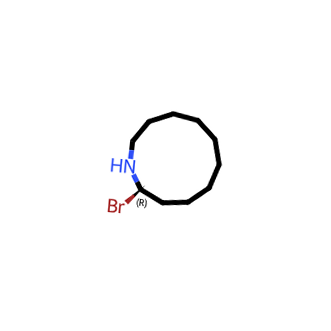 Br[C@@H]1CCCCCCCCCN1